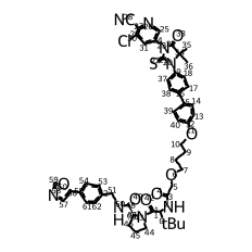 CC(C)(C)C(NC(=O)COCCCCOc1ccc(-c2ccc(N3C(=S)N(c4cnc(C#N)c(Cl)c4)C(=O)C3(C)C)cc2)cc1)C(=O)N1CCC[C@H]1C(=O)NCc1ccc(-c2cnco2)cc1